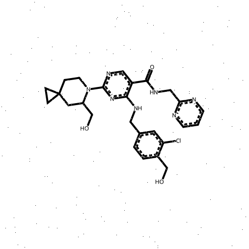 O=C(NCc1ncccn1)c1cnc(N2CCC3(CC3)CC2CO)nc1NCc1ccc(CO)c(Cl)c1